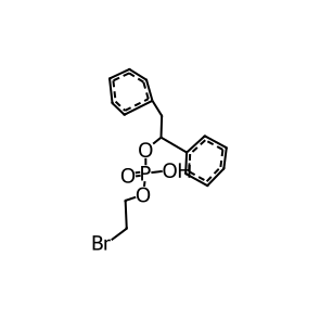 O=P(O)(OCCBr)OC(Cc1ccccc1)c1ccccc1